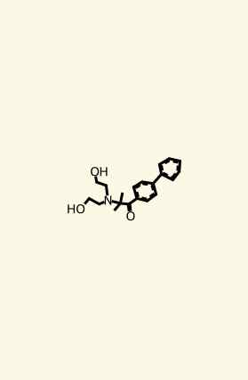 CC(C)(C(=O)c1ccc(-c2ccccc2)cc1)N(CCO)CCO